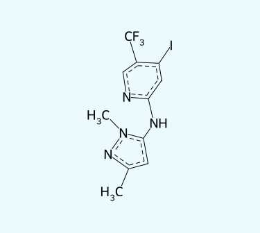 Cc1cc(Nc2cc(I)c(C(F)(F)F)cn2)n(C)n1